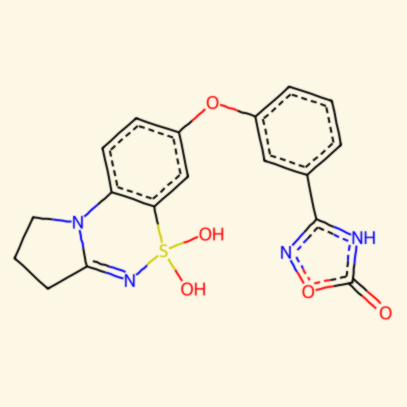 O=c1[nH]c(-c2cccc(Oc3ccc4c(c3)S(O)(O)N=C3CCCN34)c2)no1